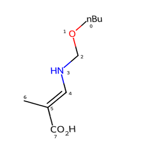 CCCCOCN/C=C(\C)C(=O)O